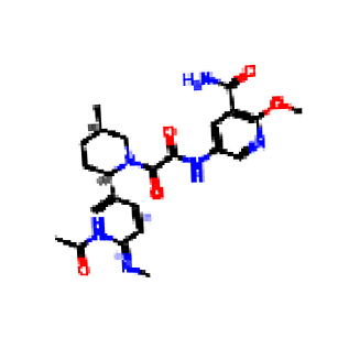 C=C(/C=C\C(=N/C)NC(C)=O)[C@@H]1CC[C@@H](C)CN1C(=O)C(=O)Nc1cnc(OC)c(C(N)=O)c1